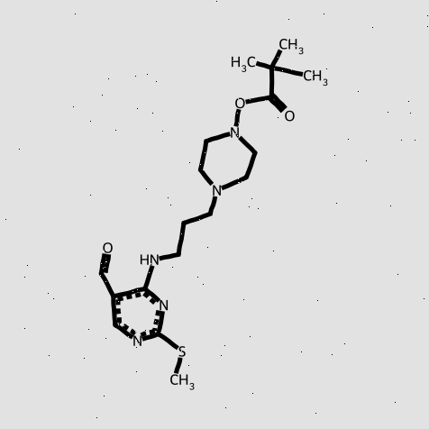 CSc1ncc(C=O)c(NCCCN2CCN(OC(=O)C(C)(C)C)CC2)n1